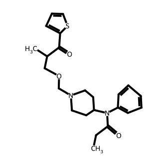 CCC(=O)N(c1ccccc1)C1CCN(COCC(C)C(=O)c2cccs2)CC1